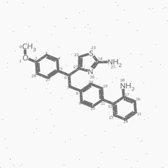 COc1ccc(C(Cc2ccc(-c3ccccc3N)cc2)c2csc(N)n2)cc1